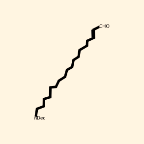 CCCCCCCCCCCCCCCCCCCCCCCCCC=CC=O